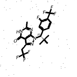 Cc1nc2c(c(CC(F)(F)F)nn2[C@H](c2ccc(C(F)(F)F)c(F)c2)C(C)(C)C)c(=O)[nH]1